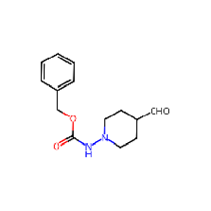 O=CC1CCN(NC(=O)OCc2ccccc2)CC1